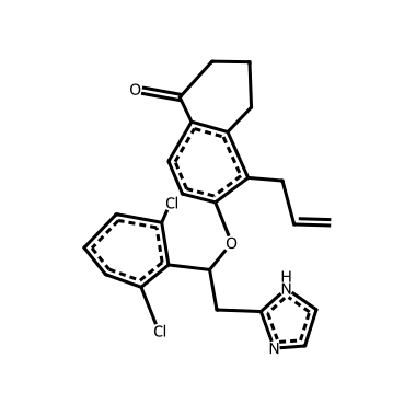 C=CCc1c(OC(Cc2ncc[nH]2)c2c(Cl)cccc2Cl)ccc2c1CCCC2=O